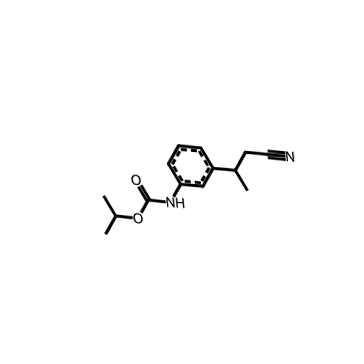 CC(C)OC(=O)Nc1cccc(C(C)CC#N)c1